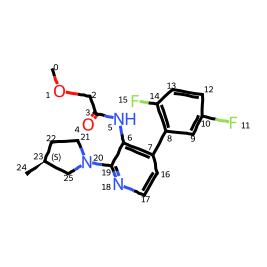 COCC(=O)Nc1c(-c2cc(F)ccc2F)ccnc1N1CC[C@H](C)C1